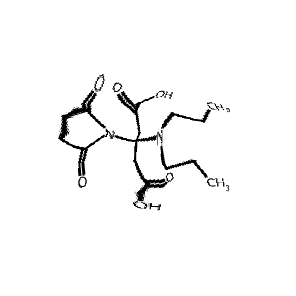 CCCN(CCC)C(CC(=O)O)(C(=O)O)N1C(=O)CCC1=O